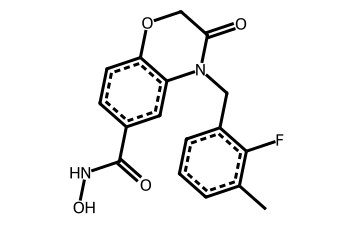 Cc1cccc(CN2C(=O)COc3ccc(C(=O)NO)cc32)c1F